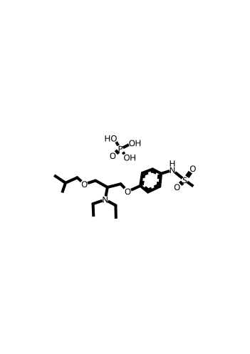 CCN(CC)C(COCC(C)C)COc1ccc(NS(C)(=O)=O)cc1.O=P(O)(O)O